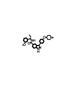 CC[C@@H](NC(=O)c1ccc2[nH]nc(-c3ccc(OC4CCN(C)CC4)cc3)c2c1)c1cccc(OC)c1